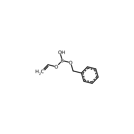 C=COB(O)OCc1ccccc1